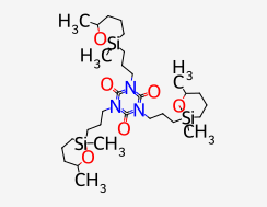 CC1CCC[Si](C)(CCCn2c(=O)n(CCC[Si]3(C)CCCC(C)O3)c(=O)n(CCC[Si]3(C)CCCC(C)O3)c2=O)O1